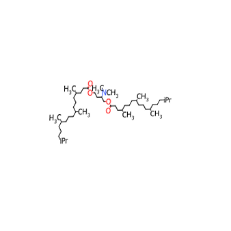 CC(C)CCCC(C)CCCC(C)CCCC(C)CCC(=O)OCCC(COC(=O)CCC(C)CCCC(C)CCCC(C)CCCC(C)C)N(C)C